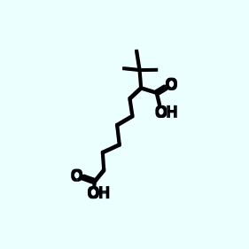 CC(C)(C)C(CCCCCCC(=O)O)C(=O)O